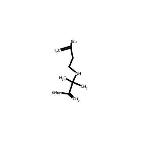 C=C(CCNC(C)(C)C(=C)CCCCCCCCC)C(C)(C)C